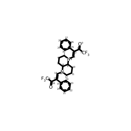 O=C(/C(=C/N1CCCC2C1CCCN2/C=C(/C(=O)C(F)(F)F)c1ccccc1)c1ccccc1)C(F)(F)F